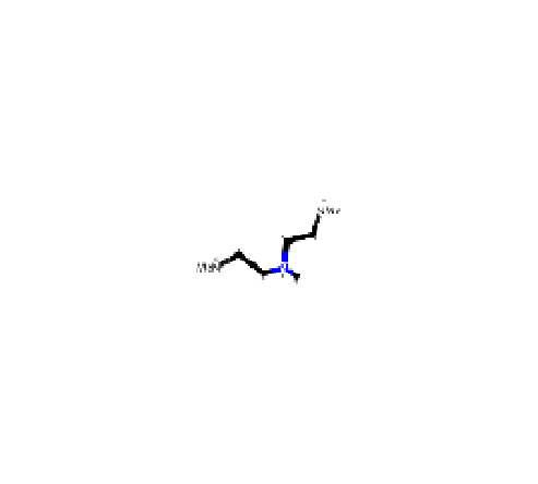 CNCCN(C)CCNC